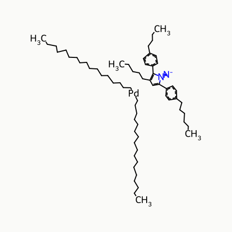 CCCCCCCCCCCCCCCC[CH2][Pd][CH2]CCCCCCCCCCCCCCCC.CCCCCCc1ccc(C2=CC(CCCCC)=C(c3ccc(CCCC)cc3)[N+]2=[N-])cc1